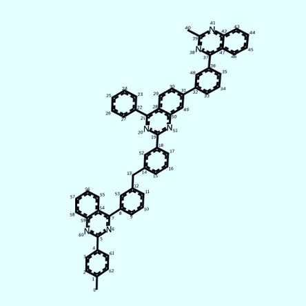 Cc1ccc(-c2nc(-c3cccc(Cc4cccc(-c5nc(-c6ccccc6)c6ccc(-c7cccc(-c8nc(C)nc9ccccc89)c7)cc6n5)c4)c3)c3ccccc3n2)cc1